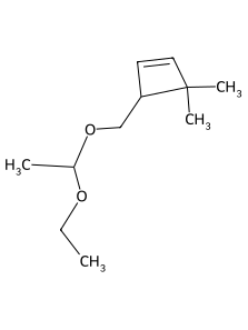 CCOC(C)OCC1C=CC1(C)C